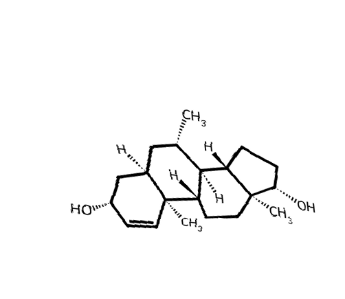 C[C@H]1C[C@@H]2C[C@@H](O)C=C[C@]2(C)[C@H]2CC[C@]3(C)[C@@H](O)CC[C@H]3[C@H]12